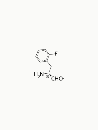 N[C@H]([C]=O)Cc1ccccc1F